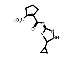 O=C(O)C1=C(C(=O)N=C2[N]NC(C3CC3)S2)CCC1